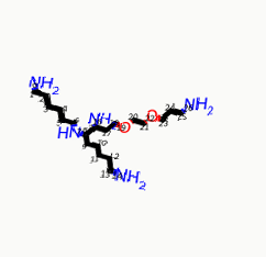 NCCCCCCNC(CCCCCN)C(N)CCOCCOCCCN